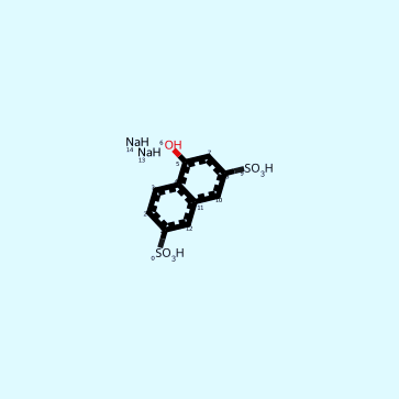 O=S(=O)(O)c1ccc2c(O)cc(S(=O)(=O)O)cc2c1.[NaH].[NaH]